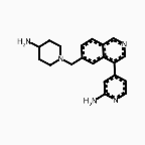 Nc1cc(-c2cncc3ccc(CN4CCC(N)CC4)cc23)ccn1